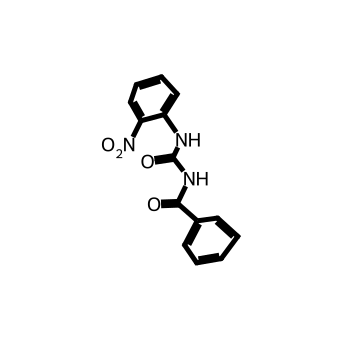 O=C(NC(=O)c1ccccc1)Nc1ccccc1[N+](=O)[O-]